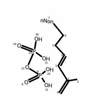 C=C(C)C=CCCCCCCCCCCC.O=P(O)(O)OP(=O)(O)O